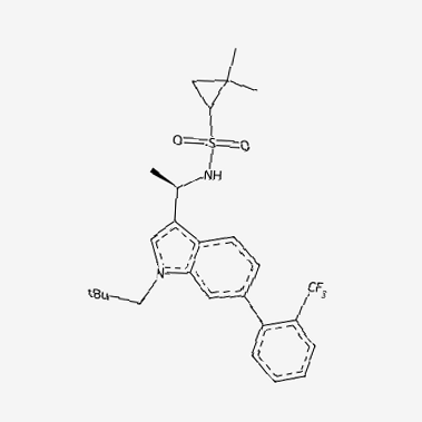 C[C@@H](NS(=O)(=O)C1CC1(C)C)c1cn(CC(C)(C)C)c2cc(-c3ccccc3C(F)(F)F)ccc12